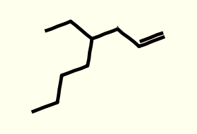 C=C[CH]C(CC)CCCC